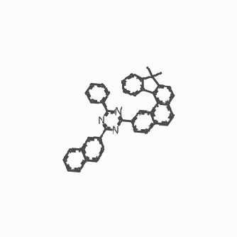 CC1(C)c2ccccc2-c2c1ccc1ccc3ccc(-c4nc(-c5ccccc5)nc(-c5ccc6ccccc6c5)n4)cc3c21